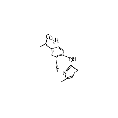 Cc1csc(Nc2ccc(C(C)C(=O)O)cc2F)n1